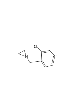 Clc1c[c]ccc1CN1CC1